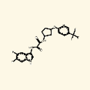 O=C(Nc1c[nH]c2cc(F)c(F)cc12)C(=O)NC1CCC(Oc2ccc(C(F)(F)F)cn2)C1